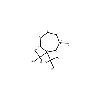 CN1CCCCC(C(C)(C)C)(C(C)(C)C)C1